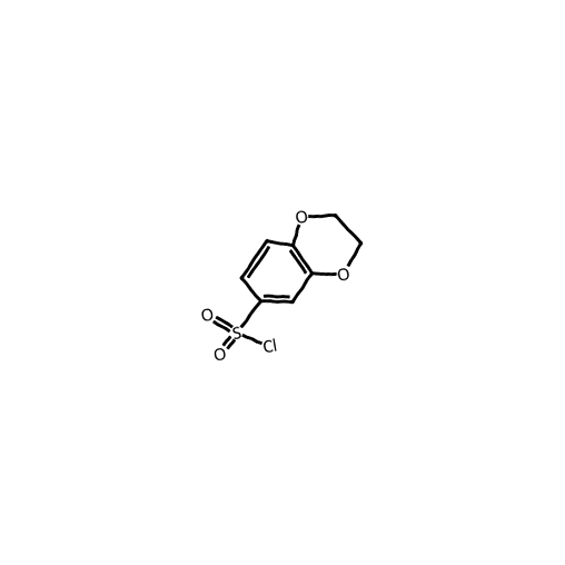 O=S(=O)(Cl)c1ccc2c(c1)OCCO2